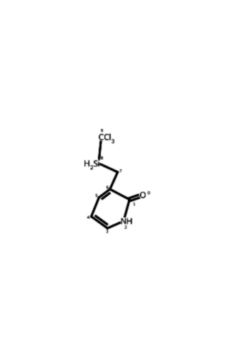 O=c1[nH]cccc1C[SiH2]C(Cl)(Cl)Cl